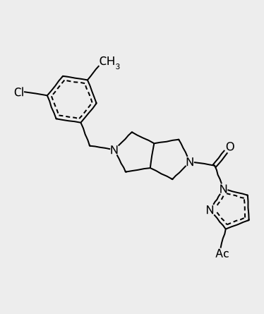 CC(=O)c1ccn(C(=O)N2CC3CN(Cc4cc(C)cc(Cl)c4)CC3C2)n1